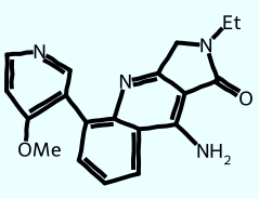 CCN1Cc2nc3c(-c4cnccc4OC)cccc3c(N)c2C1=O